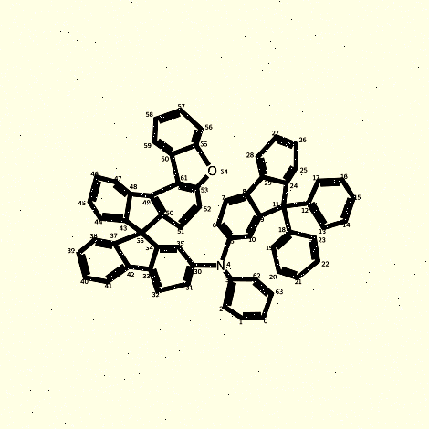 c1ccc(N(c2ccc3c(c2)C(c2ccccc2)(c2ccccc2)c2ccccc2-3)c2ccc3c(c2)C2(c4ccccc4-3)c3ccccc3-c3c2ccc2oc4ccccc4c32)cc1